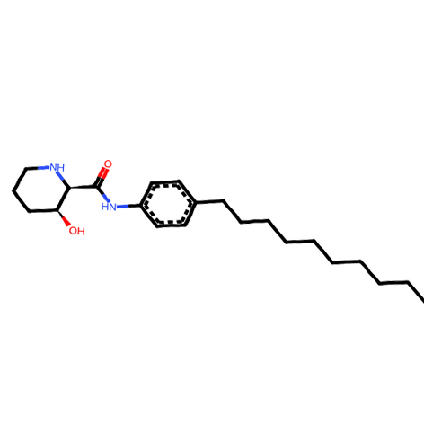 CCCCCCCCCCc1ccc(NC(=O)[C@@H]2NCCC[C@@H]2O)cc1